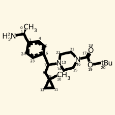 C[C@H](N)c1ccc(C(CC2(C)CC2)N2CCN(C(=O)OC(C)(C)C)CC2)cc1